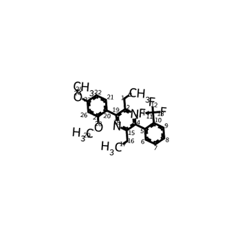 CCc1nc(-c2ccccc2C(F)(F)F)c(CC)nc1-c1ccc(OC)cc1OC